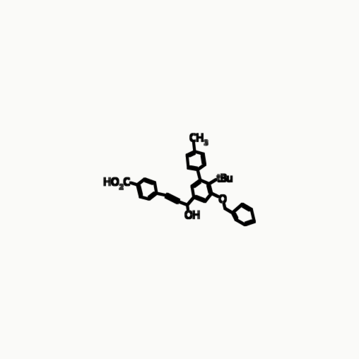 Cc1ccc(-c2cc(C(O)C#Cc3ccc(C(=O)O)cc3)cc(OCc3ccccc3)c2C(C)(C)C)cc1